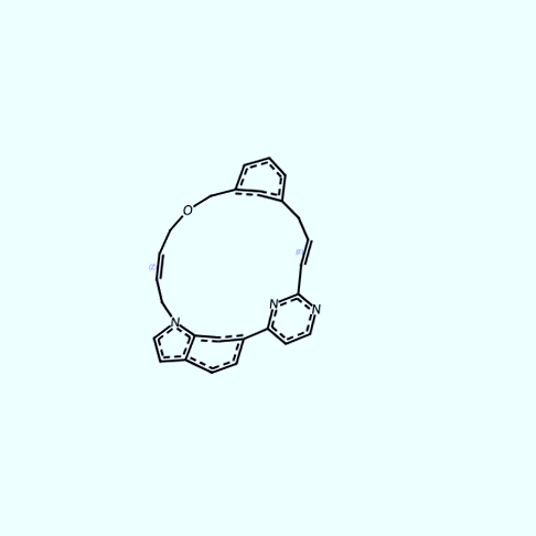 C1=C\Cn2ccc3ccc(cc32)-c2ccnc(n2)/C=C/Cc2cccc(c2)COC/1